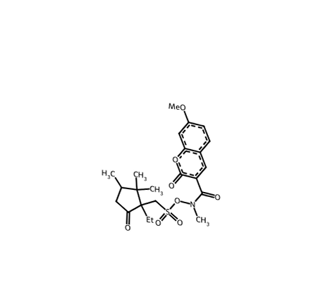 CCC1(CS(=O)(=O)ON(C)C(=O)c2cc3ccc(OC)cc3oc2=O)C(=O)CC(C)C1(C)C